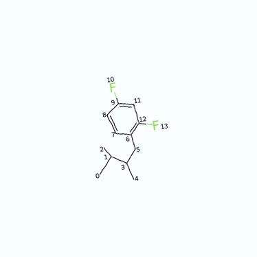 CC(C)C(C)Cc1ccc(F)cc1F